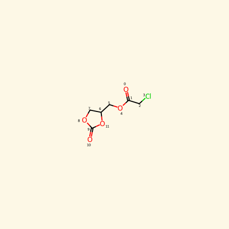 O=C(CCl)OCC1COC(=O)O1